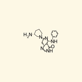 N[C@@H]1CCCN(c2cc3nc[nH]c(=O)c3c(Nc3ccccc3)n2)C1